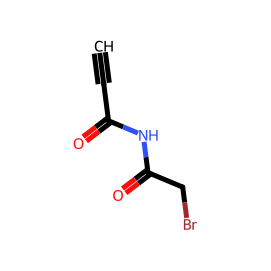 C#CC(=O)NC(=O)CBr